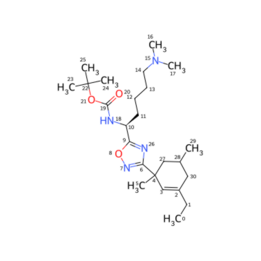 CCC1=CC(C)(c2noc([C@H](CCCCN(C)C)NC(=O)OC(C)(C)C)n2)CC(C)C1